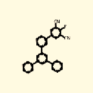 N#Cc1cc(-c2cccc(-c3cc(-c4ccccc4)cc(-c4ccccc4)c3)c2)cc(C#N)c1F